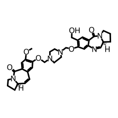 COc1cc2c(cc1OCN1CCN(COc3cc4c(cc3CO)C(=O)N3CCC[C@H]3C=N4)CC1)C=C[C@@H]1CCCN1C2=O